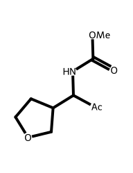 COC(=O)NC(C(C)=O)C1CCOC1